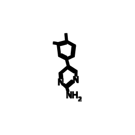 Cc1ccc(-c2cnc(N)nc2)cc1C